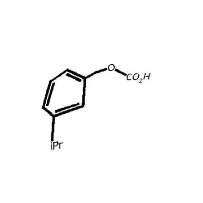 CC(C)c1cccc(OC(=O)O)c1